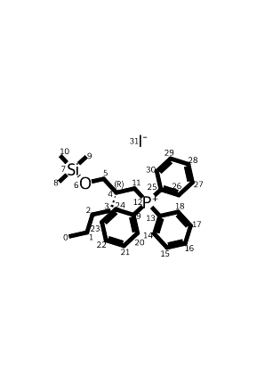 CCCC[C@H](CO[Si](C)(C)C)C[P+](c1ccccc1)(c1ccccc1)c1ccccc1.[I-]